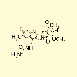 COCc1c([C@](C)(O)C=O)cc2n(c1=O)Cc1c-2nc2cc(F)c(C)cc2c1CCNC(=O)CN